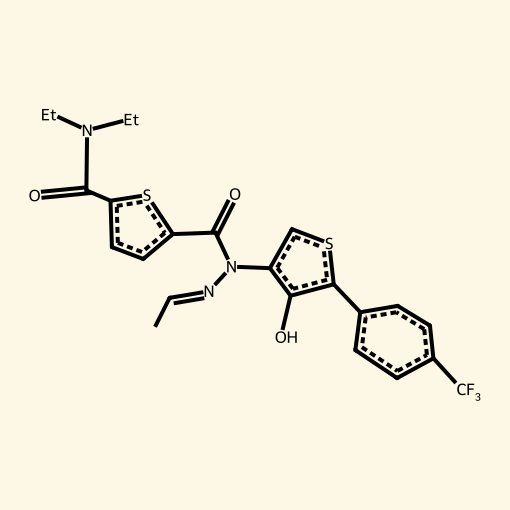 CC=NN(C(=O)c1ccc(C(=O)N(CC)CC)s1)c1csc(-c2ccc(C(F)(F)F)cc2)c1O